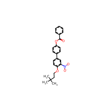 CC(C)(C)CCOc1ccc(-c2ccc(OC(=O)c3ccccc3)cc2)cc1[N+](=O)[O-]